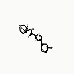 O=C(N[C@H]1CN2CCC1CC2)c1ncc(-c2cccc(Cl)c2)o1